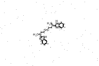 CN(CCSSCCN(C)c1nc2ccccc2[nH]1)c1nc2ccccc2[nH]1